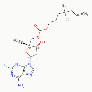 C#C[C@]1(COC(=O)OCCCC(CC)(CC)CC=C)O[C@@H](n2cnc3c(N)nc(F)nc32)C[C@@H]1O